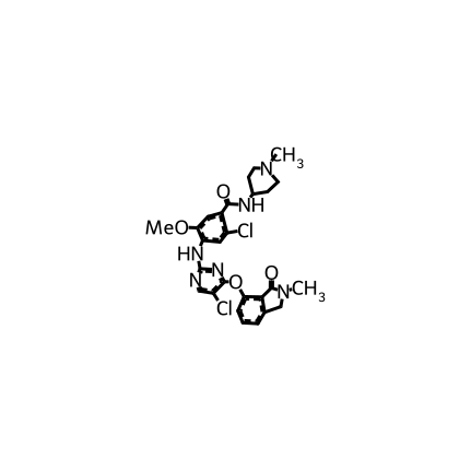 COc1cc(C(=O)NC2CCN(C)CC2)c(Cl)cc1Nc1ncc(Cl)c(Oc2cccc3c2C(=O)N(C)C3)n1